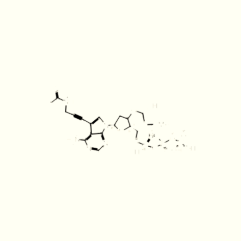 CSS[C@@H](C)OC1C[C@H](n2cc(C#CCNC(=O)I)c3c(N)ncnc32)O[C@@H]1COP(=O)(O)OP(=O)(O)OP(=O)(O)O